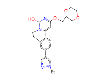 CCn1cc(-c2ccc3c(c2)CCN2C3=CC(OCC3COCCO3)=NC2O)cn1